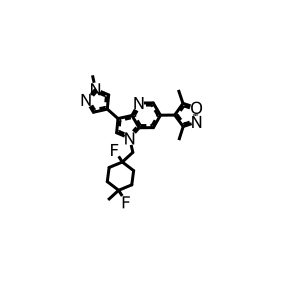 Cc1noc(C)c1-c1cnc2c(-c3cnn(C)c3)cn(CC3(F)CCC(C)(F)CC3)c2c1